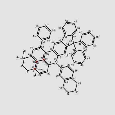 CC1(C)CCC(C)(C)c2cc(-c3cc4c(cc3N(c3ccccc3)c3ccc5c(c3)CCCC5)C(c3ccccc3)(c3ccccc3)c3ccccc3-4)c(-c3ccccc3)cc21